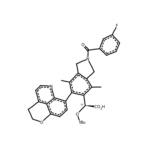 Cc1c2c(c(C)c([C@H](OC(C)(C)C)C(=O)O)c1-c1ccc3c4c(ccnc14)CCO3)CN(C(=O)c1cccc(F)c1)C2